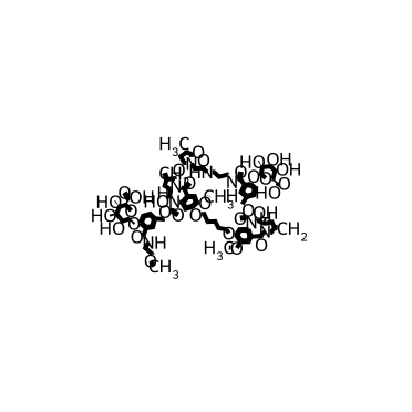 C=C1C[C@H]2C(O)N(C(=O)OCc3ccc(O[C@@H]4O[C@H](C(=O)O)[C@@H](O)[C@H](O)[C@H]4O)c(C(=O)NCCCNC(=O)CN4C(=O)CC(C)C4=O)c3)c3cc(OCCCCCOc4cc5c(cc4OC)C(=O)N4CC(=C)C[C@H]4C(O)N5C(=O)OCc4ccc(O[C@@H]5O[C@H](C(=O)O)[C@@H](O)[C@H](O)[C@H]5O)c(C(=O)NCCOC)c4)c(OC)cc3C(=O)N2C1